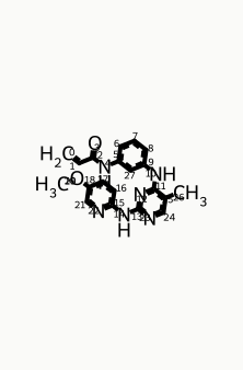 C=CC(=O)Nc1cccc(Nc2nc(Nc3ccc(OC)cn3)ncc2C)c1